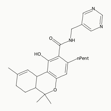 CCCCCc1cc2c(c(O)c1C(=O)NCc1cncnc1)C1C=C(C)CCC1C(C)(C)O2